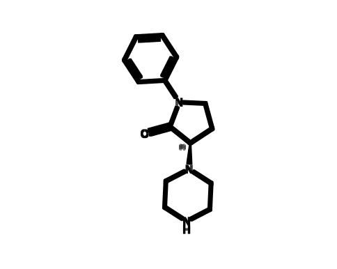 O=C1[C@H](N2CCNCC2)CCN1c1ccccc1